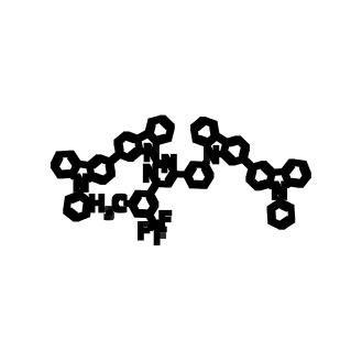 Cc1cc(-c2cc(-c3cccc(-n4c5ccccc5c5ccc(-c6ccc7c(c6)c6ccccc6n7-c6ccccc6)cc54)c3)nc(-n3c4ccccc4c4ccc(-c5ccc6c(c5)c5ccccc5n6-c5ccccc5)cc43)n2)cc(C(F)(F)F)c1